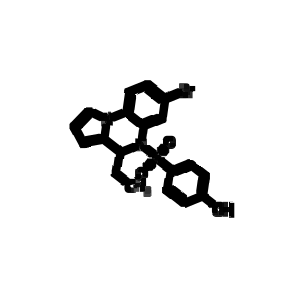 CCC1c2cccn2-c2ccc(Br)cc2N1S(=O)(=O)c1ccc(O)cc1